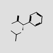 CC(=O)[C@H](OC(C)C)c1ccccc1